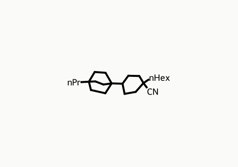 CCCCCCC1(C#N)CCC(C23CCC(CCC)(CC2)CC3)CC1